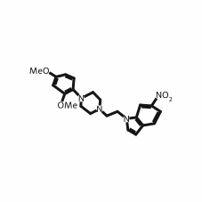 COc1ccc(N2CCN(CCn3ccc4ccc([N+](=O)[O-])cc43)CC2)c(OC)c1